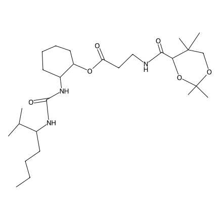 CCCCC(NC(=O)NC1CCCCC1OC(=O)CCNC(=O)C1OC(C)(C)OCC1(C)C)C(C)C